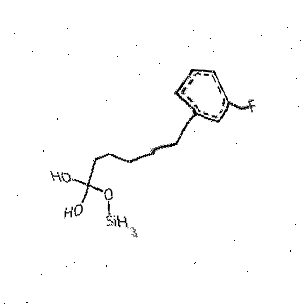 OC(O)(CCCCc1cccc(F)c1)O[SiH3]